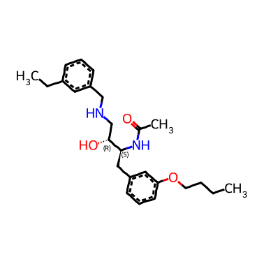 CCCCOc1cccc(C[C@H](NC(C)=O)[C@H](O)CNCc2cccc(CC)c2)c1